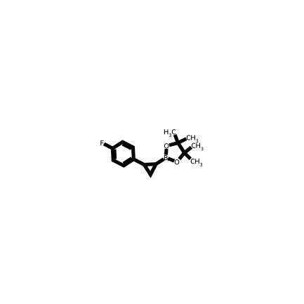 CC1(C)OB(C2CC2c2ccc(F)cc2)OC1(C)C